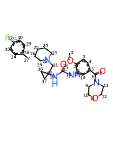 COc1ccc(C(=O)N2CCOCC2)cc1NC(=O)NC1(CN2CCC[C@@H](Cc3ccc(F)cc3)C2)CC1